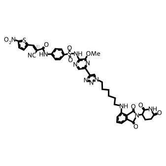 COc1nc(-c2cn(CCCCCCNc3cccc4c3C(=O)N(C3CCC(=O)NC3=O)C4=O)nn2)cnc1NS(=O)(=O)c1ccc(NC(=O)/C(C#N)=C/c2ccc([N+](=O)[O-])s2)cc1